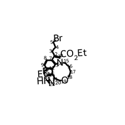 CCOC(=O)c1c(CCCBr)c2ccc(F)c3c2n1CCCCOCc1n[nH]c(CC)c1-3